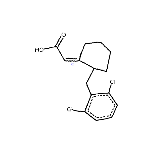 O=C(O)/C=C1\CCCCC1Cc1c(Cl)cccc1Cl